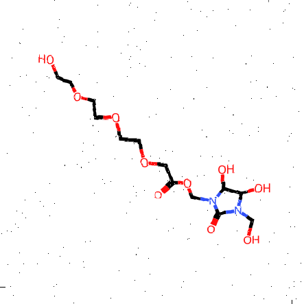 O=C(COCCOCCOCCO)OCN1C(=O)N(CO)C(O)C1O